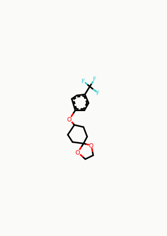 FC(F)(F)c1ccc(OC2CCC3(CC2)OCCO3)cc1